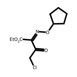 CCOC(=O)/C(=N/OC1CCCC1)C(=O)CCl